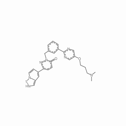 CN(C)CCCOc1cnc(-c2cccc(Cn3nc(C4=CC5=CNSN5C=C4)ccc3=O)c2)nc1